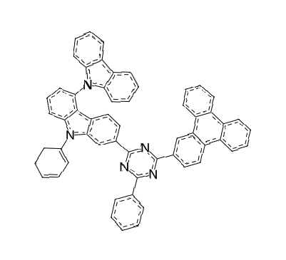 C1=CCCC(n2c3cc(-c4nc(-c5ccccc5)nc(-c5ccc6c7ccccc7c7ccccc7c6c5)n4)ccc3c3c(-n4c5ccccc5c5ccccc54)cccc32)=C1